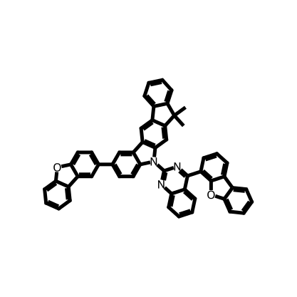 CC1(C)c2ccccc2-c2cc3c4cc(-c5ccc6oc7ccccc7c6c5)ccc4n(-c4nc(-c5cccc6c5oc5ccccc56)c5ccccc5n4)c3cc21